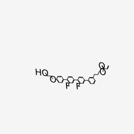 C=CC(=O)OCCCc1cccc(-c2ccc(-c3ccc(-c4ccc(OCCO)cc4)c(F)c3)c(F)c2)c1